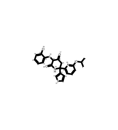 CC(C)Oc1cccc(C2(c3ccsc3)CC(=O)C(Sc3ccccc3Cl)C(=O)N2)n1